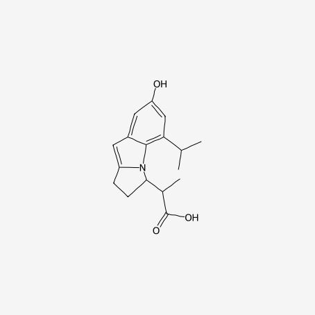 CC(C)c1cc(O)cc2cc3n(c12)C(C(C)C(=O)O)CC3